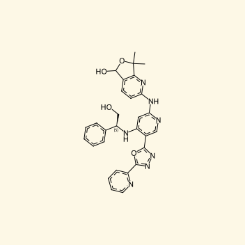 CC1(C)OC(O)c2ccc(Nc3cc(N[C@H](CO)c4ccccc4)c(-c4nnc(-c5ccccn5)o4)cn3)nc21